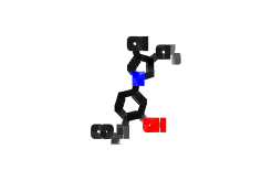 N#Cc1cn(-c2ccc(C(=O)O)c(O)c2)cc1C(F)(F)F